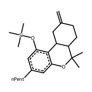 C=C1CCC2C(C1)c1c(cc(CCCCC)cc1O[Si](C)(C)C)OC2(C)C